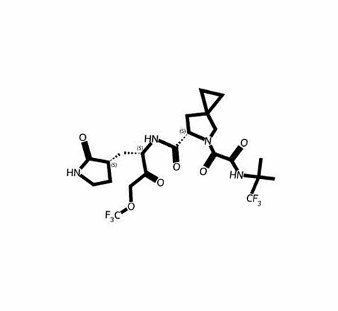 CC(C)(NC(=O)C(=O)N1CC2(CC2)C[C@H]1C(=O)N[C@@H](C[C@@H]1CCNC1=O)C(=O)COC(F)(F)F)C(F)(F)F